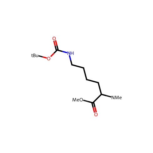 CNC(CCCCNC(=O)OC(C)(C)C)C(=O)OC